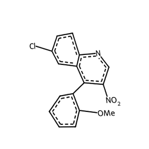 COc1ccccc1-c1c([N+](=O)[O-])cnc2ccc(Cl)cc12